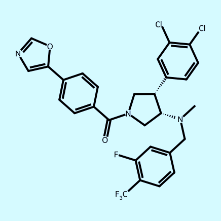 CN(Cc1ccc(C(F)(F)F)c(F)c1)[C@@H]1CN(C(=O)c2ccc(-c3cnco3)cc2)C[C@@H]1c1ccc(Cl)c(Cl)c1